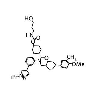 COc1ccc([C@H]2CC[C@H](CN(c3cccc(-c4cnn(C(C)C)c4)c3)C(=O)[C@H]3CC[C@H](OC(=O)NCCCO)CC3)CC2)cc1C